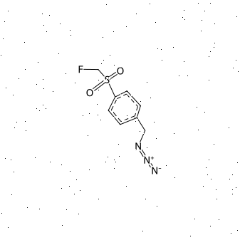 [N-]=[N+]=NCc1ccc(S(=O)(=O)CF)cc1